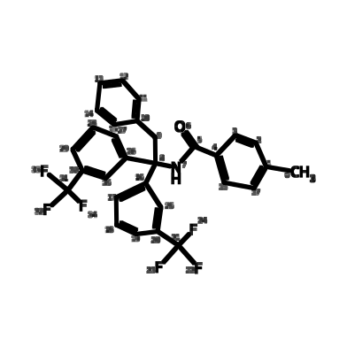 Cc1ccc(C(=O)NC(Cc2ccccc2)(c2cccc(C(F)(F)F)c2)c2cccc(C(F)(F)F)c2)cc1